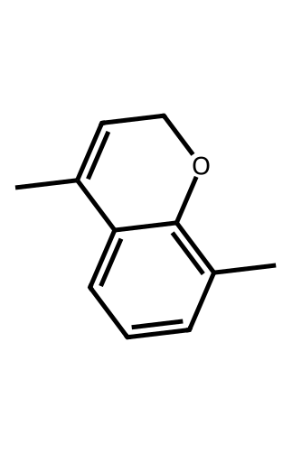 CC1=CCOc2c(C)cccc21